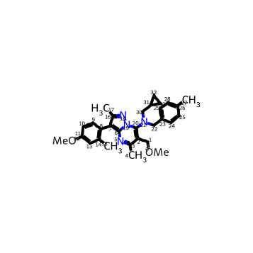 COCc1c(C)nc2c(-c3ccc(OC)cc3C)c(C)nn2c1N(Cc1ccc(C)cc1)CC1CC1